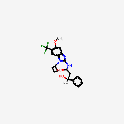 COc1cc2nc(NC(O)CC(C)(O)c3ccccc3)n(C3CCC3)c2cc1C(F)(F)F